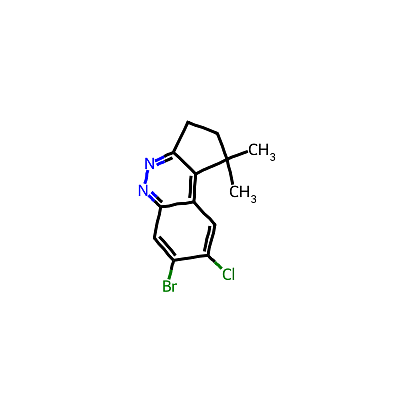 CC1(C)CCc2nnc3cc(Br)c(Cl)cc3c21